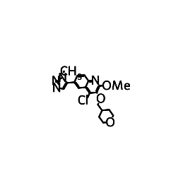 COc1nc2ccc(-c3cnnn3C)cc2c(Cl)c1OCC1CCOCC1